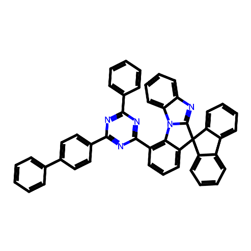 c1ccc(-c2ccc(-c3nc(-c4ccccc4)nc(-c4cccc5c4-n4c(nc6ccccc64)C54c5ccccc5-c5ccccc54)n3)cc2)cc1